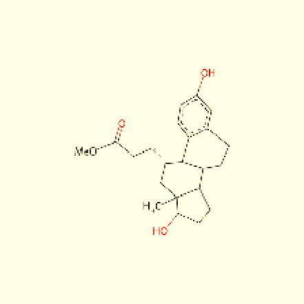 COC(=O)CC[C@H]1CC2(C)C(O)CCC2C2CCc3cc(O)ccc3C21